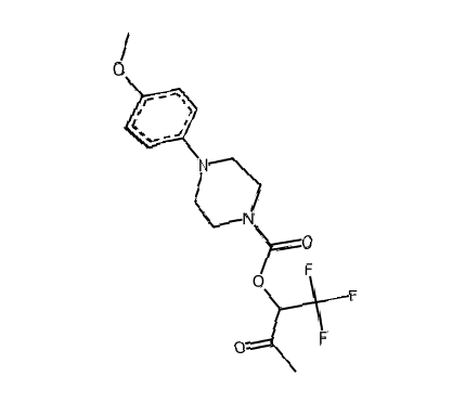 COc1ccc(N2CCN(C(=O)OC(C(C)=O)C(F)(F)F)CC2)cc1